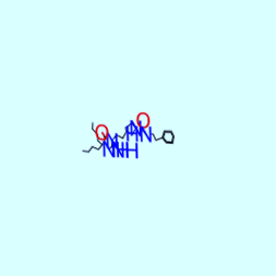 CCCCC1(CCCC)NC(=N)N(CCC2CCN(C(=O)NCCc3ccccc3)C2)C1=O